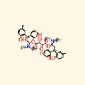 Cc1ccc(O)c([C@H](CC(OC(=O)C(O)C(O)C(=O)OC(C[C@H](c2ccccc2)c2cc(C)ccc2O)N(C(C)C)C(C)C)N(C(C)C)C(C)C)c2ccccc2)c1